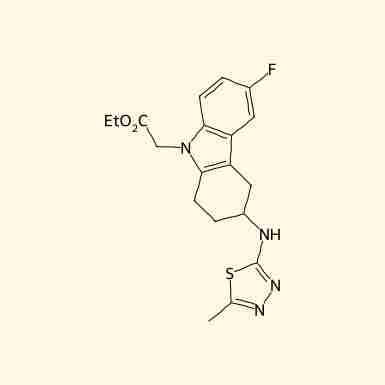 CCOC(=O)Cn1c2c(c3cc(F)ccc31)CC(Nc1nnc(C)s1)CC2